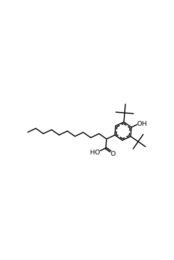 CCCCCCCCCCC(C(=O)O)c1cc(C(C)(C)C)c(O)c(C(C)(C)C)c1